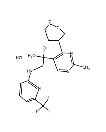 Cc1ncc(C(C)(O)CNc2cccc(C(F)(F)F)n2)c(C2CCNCC2)n1.Cl